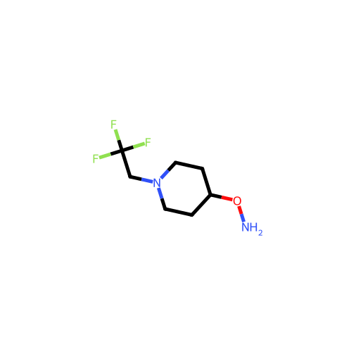 NOC1CCN(CC(F)(F)F)CC1